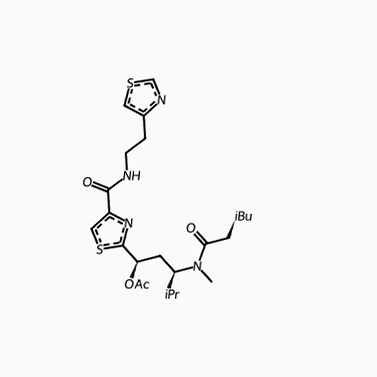 CC[C@H](C)CC(=O)N(C)[C@H](C[C@@H](OC(C)=O)c1nc(C(=O)NCCc2cscn2)cs1)C(C)C